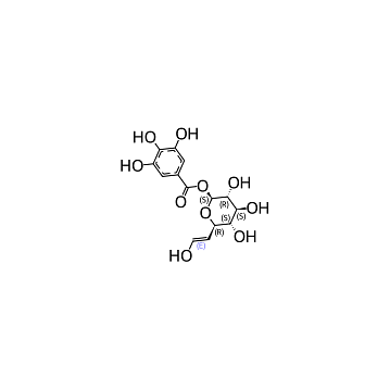 O=C(O[C@@H]1O[C@H](/C=C/O)[C@@H](O)[C@H](O)[C@H]1O)c1cc(O)c(O)c(O)c1